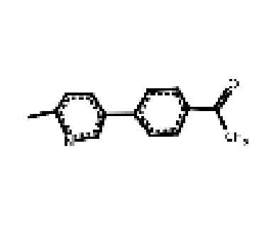 CC(=O)c1ccc(-c2ccc(F)nc2)cc1